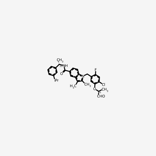 Cc1c(C)n(Cc2cc(O[C@@H](C)C=O)c(Cl)cc2F)c2ccc(C(=O)N[C@@H](C)c3cccc(C(C)C)c3)cc12